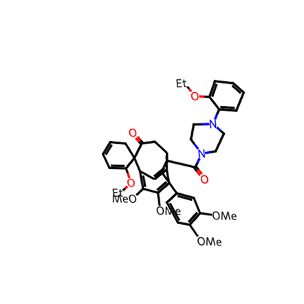 CCOC1=CC=CCC12C(=O)CC1c3cc(OC)c(OC)c2c3C(c2ccc(OC)c(OC)c2)C1C(=O)N1CCN(c2ccccc2OCC)CC1